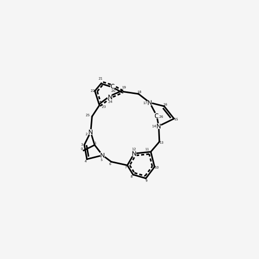 CC1N2C=CN1Cc1cccc(n1)CN1C=CN(Cc3cccc(n3)C2)C1